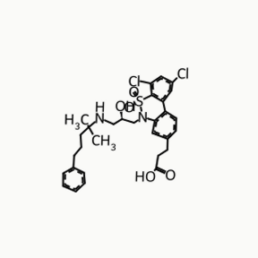 CC(C)(CCCc1ccccc1)NC[C@@H](O)CN1c2cc(CCC(=O)O)ccc2-c2cc(Cl)cc(Cl)c2S1(=O)=O